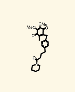 COC1=C(OC)C(=O)C(Cc2ccc(CCCC(=O)N3CCCCC3)cc2)=C(C)C1=O